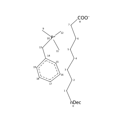 CCCCCCCCCCCCCCCCCC(=O)[O-].C[P+](C)(C)Cc1ccccc1